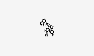 CC(NC(=O)c1cnc(N2CCCC2)nc1C1(c2ccc(F)cc2)CCCC1)c1cccc2ccccc12